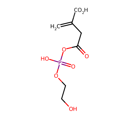 C=C(CC(=O)OP(=O)(O)OCCO)C(=O)O